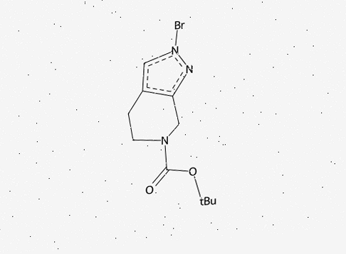 CC(C)(C)OC(=O)N1CCc2cn(Br)nc2C1